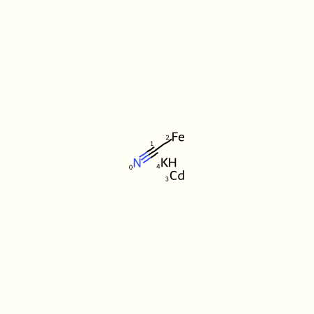 N#[C][Fe].[Cd].[KH]